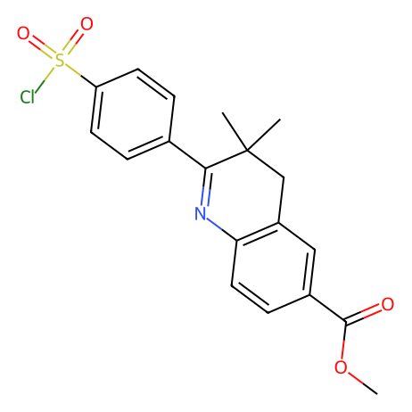 COC(=O)c1ccc2c(c1)CC(C)(C)C(c1ccc(S(=O)(=O)Cl)cc1)=N2